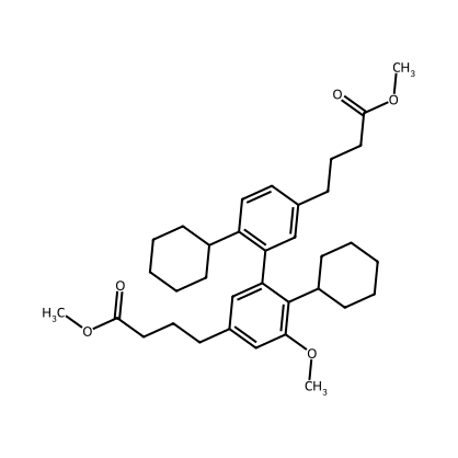 COC(=O)CCCc1ccc(C2CCCCC2)c(-c2cc(CCCC(=O)OC)cc(OC)c2C2CCCCC2)c1